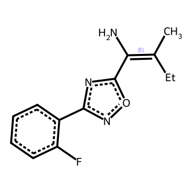 CC/C(C)=C(/N)c1nc(-c2ccccc2F)no1